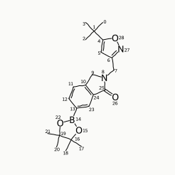 CC(C)(C)c1cc(CN2Cc3ccc(B4OC(C)(C)C(C)(C)O4)cc3C2=O)no1